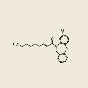 CCCCCCC=CC(=O)N1Cc2ccccc2Oc2ccc(Cl)cc21